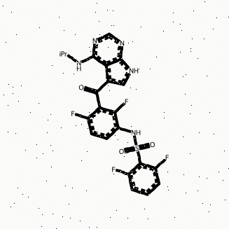 CC(C)Nc1ncnc2[nH]cc(C(=O)c3c(F)ccc(NS(=O)(=O)c4c(F)cccc4F)c3F)c12